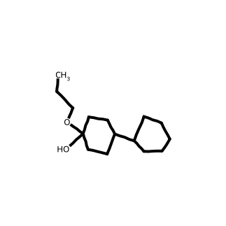 CCCOC1(O)CCC(C2CCCCC2)CC1